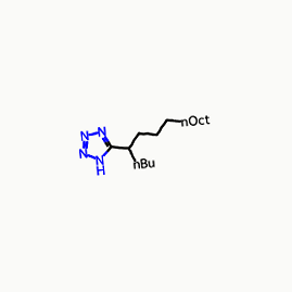 [CH2]CCCCCCCCCCC(CCCC)c1nnn[nH]1